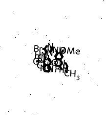 COc1cc2c(cc1Nc1ncc(Br)c(Nc3ccc4nccnc4c3P(C)(C)=O)n1)OC[C@H]1CN(C)CCN21